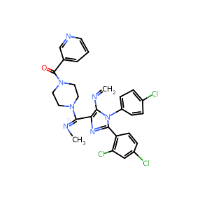 C=Nc1c(/C(=N\C)N2CCN(C(=O)c3cccnc3)CC2)nc(-c2ccc(Cl)cc2Cl)n1-c1ccc(Cl)cc1